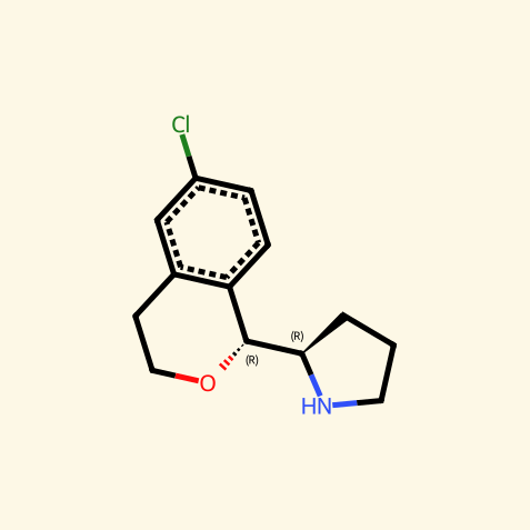 Clc1ccc2c(c1)CCO[C@H]2[C@H]1CCCN1